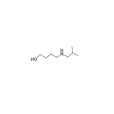 CC(C)CNCCCCO